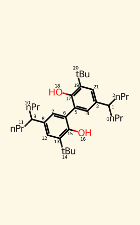 CCCC(CCC)c1cc(-c2cc(C(CCC)CCC)cc(C(C)(C)C)c2O)c(O)c(C(C)(C)C)c1